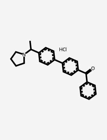 CC(c1ccc(-c2ccc(C(=O)c3ccccc3)cc2)cc1)N1CCCC1.Cl